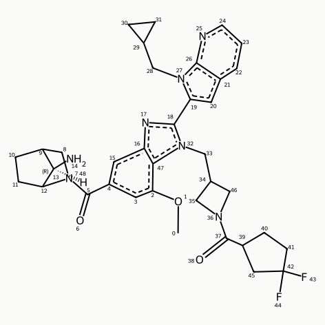 COc1cc(C(=O)N2CC3CCC2[C@@H]3N)cc2nc(-c3cc4cccnc4n3CC3CC3)n(CC3CN(C(=O)C4CCC(F)(F)C4)C3)c12